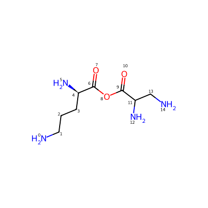 NCCC[C@@H](N)C(=O)OC(=O)C(N)CN